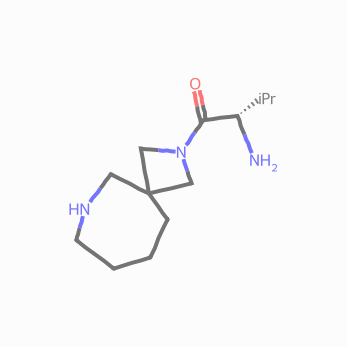 CC(C)[C@H](N)C(=O)N1CC2(CCCCNC2)C1